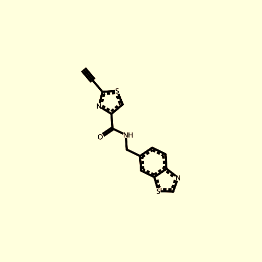 C#Cc1nc(C(=O)NCc2ccc3ncsc3c2)cs1